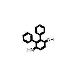 N=C1C=CC(=N)C(c2ccccc2)=C1c1ccccc1